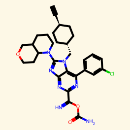 C#C[C@H]1CC[C@H](Cn2c(N3CCCC4COCCC43)nc3nc(C(=N)OC(N)=O)nc(-c4cccc(Cl)c4)c32)CC1